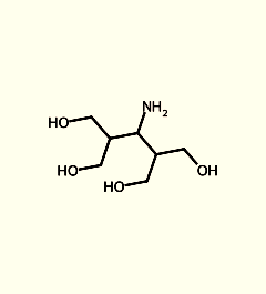 NC(C(CO)CO)C(CO)CO